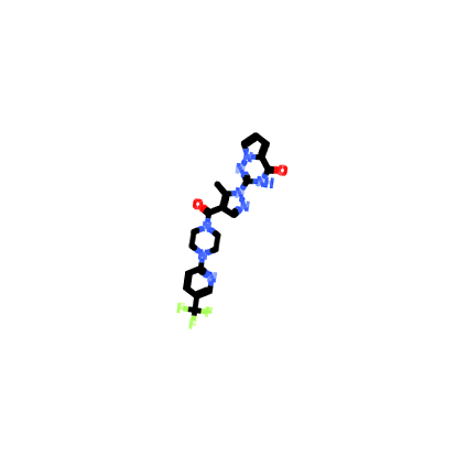 Cc1c(C(=O)N2CCN(c3ccc(C(F)(F)F)cn3)CC2)cnn1-c1nn2cccc2c(=O)[nH]1